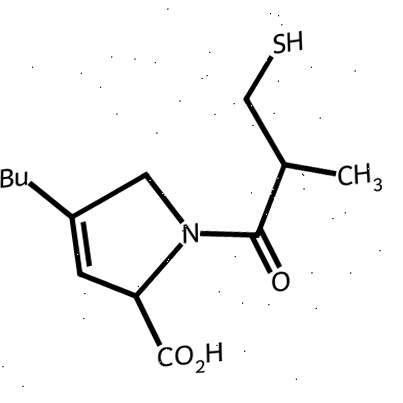 CC(CS)C(=O)N1CC(C(C)(C)C)=CC1C(=O)O